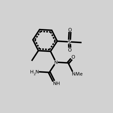 CNC(=O)N(C(=N)N)c1c(C)cccc1S(C)(=O)=O